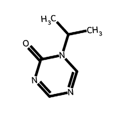 CC(C)n1cncnc1=O